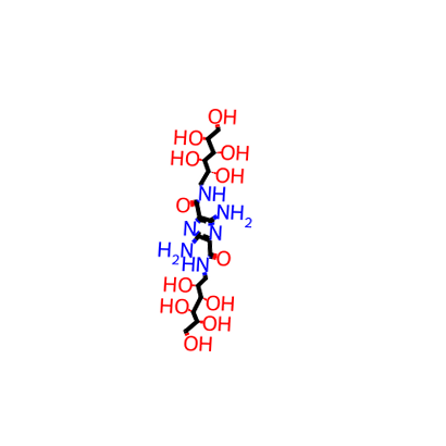 Nc1nc(C(=O)NC[C@@H](O)[C@H](O)[C@@H](O)[C@@H](O)CO)c(N)nc1C(=O)NC[C@@H](O)[C@H](O)[C@@H](O)[C@@H](O)CO